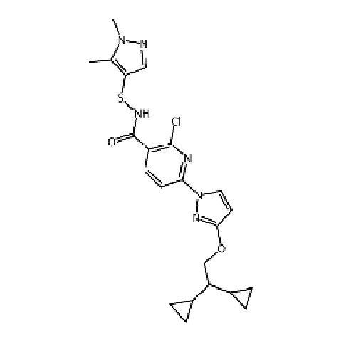 Cc1c(SNC(=O)c2ccc(-n3ccc(OCC(C4CC4)C4CC4)n3)nc2Cl)cnn1C